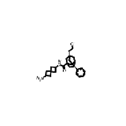 NC1CC2(C1)CC(NC(=O)C13CC4C[C@@](CCCl)(C1)C[C@@]4(c1ccccc1)C3)C2